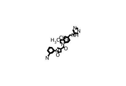 CC1(C)CN(C(=O)C2CC(=O)N(c3cccc(C#N)c3)C2)c2ccc(CNc3cncnc3)cc21